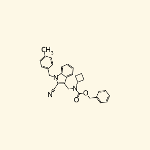 Cc1ccc(Cn2c(C#N)c(CN(C(=O)OCc3ccccc3)C3CCC3)c3ccccc32)cc1